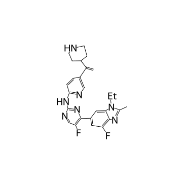 C=C(c1ccc(Nc2ncc(F)c(-c3cc(F)c4nc(C)n(CC)c4c3)n2)nc1)C1CCNCC1